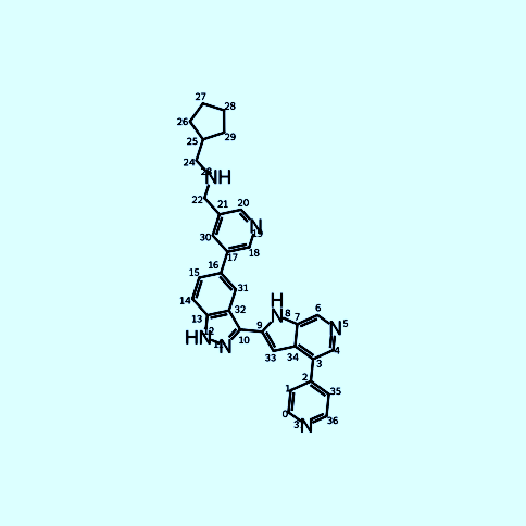 c1cc(-c2cncc3[nH]c(-c4n[nH]c5ccc(-c6cncc(CNCC7CCCC7)c6)cc45)cc23)ccn1